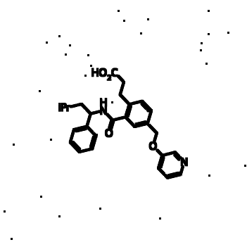 CC(C)CC(NC(=O)c1cc(COc2cccnc2)ccc1CCC(=O)O)c1ccccc1